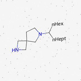 CCCCCCCC(CCCCCC)N1CCC2(CNC2)C1